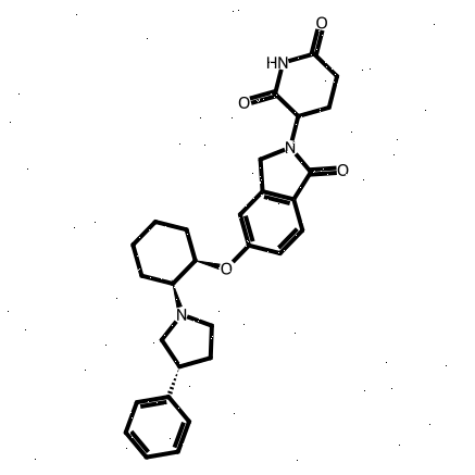 O=C1CCC(N2Cc3cc(O[C@@H]4CCCC[C@@H]4N4CC[C@H](c5ccccc5)C4)ccc3C2=O)C(=O)N1